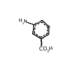 Nc1c[c]cc(C(=O)O)c1